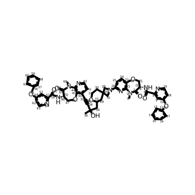 CN1C(=O)[C@@H](NC(=O)c2cc(Oc3ccccc3)ccn2)COc2ccc(N3CC4(CCOC(CC(C)(O)C#Cc5ccnc6c5OC[C@H](NC(=O)c5cc(Oc7ccccc7)ccn5)C(=O)N6C)C4)C3)nc21